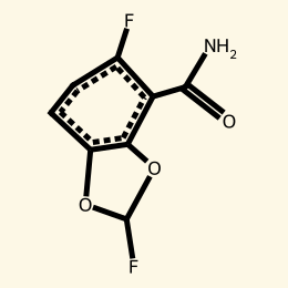 NC(=O)c1c(F)ccc2c1OC(F)O2